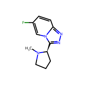 CN1CCC[C@@H]1c1nnc2ccc(F)cn12